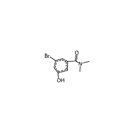 CN(C)C(=O)c1cc(O)cc(Br)c1